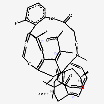 C=CC(=O)/C1=C\C[C@H](C)CC(/C(C2=C3CC=C=C(/C(F)=C\2)c2c(F)cccc2NC(=O)CCN(C)C2=CC=C=CC(C(C)C)=C2C3C)=C(\C)C(C)=O)C[C@@H](C)C1